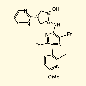 CCc1nc(-c2ccc(OC)nc2C)c(CC)nc1N[C@@H]1CN(c2ncccn2)C[C@@H]1O